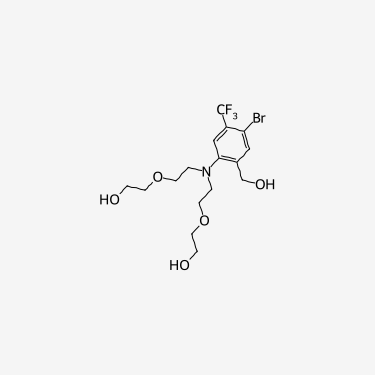 OCCOCCN(CCOCCO)c1cc(C(F)(F)F)c(Br)cc1CO